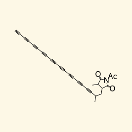 C#CC#CC#CC#CC#CC#CC#CC#CC#CC(C)CC1C(=O)N(C(C)=O)C(=O)C1C